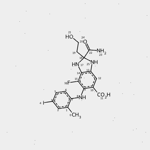 Cc1cc(I)ccc1Nc1c(C(=O)O)cc2c(c1F)NC(CCO)(C(N)=O)N2